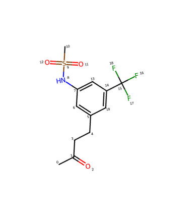 CC(=O)CCc1cc(NS(C)(=O)=O)cc(C(F)(F)F)c1